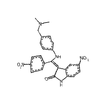 CN(C)Cc1ccc(NC(=C2C(=O)Nc3ccc([N+](=O)[O-])cc32)c2ccc([N+](=O)[O-])cc2)cc1